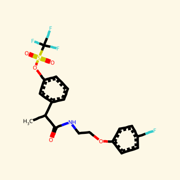 CC(C(=O)NCCOc1ccc(F)cc1)c1cccc(OS(=O)(=O)C(F)(F)F)c1